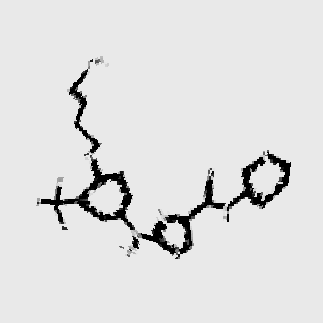 CCCCCOc1ccc(N(C)c2nc(C(=O)Nc3cccnc3)cs2)cc1C(F)(F)F